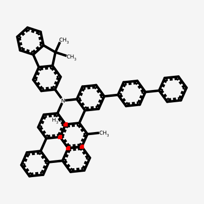 Cc1cccc(C)c1-c1cc(-c2ccc(-c3ccccc3)cc2)ccc1N(c1ccc(-c2ccccc2-c2ccccc2)cc1)c1ccc2c(c1)C(C)(C)c1ccccc1-2